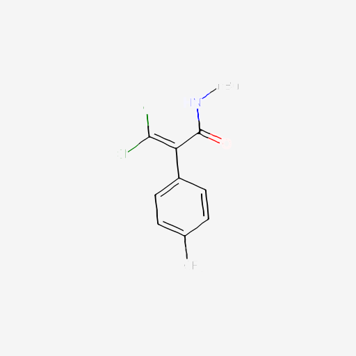 CCCCNC(=O)C(=C(Cl)Cl)c1ccc(C(F)(F)F)cc1